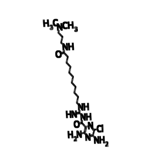 CN(C)CCCNC(=O)CCCCCCCCCCNC(=N)NC(=O)c1nc(Cl)c(N)nc1N